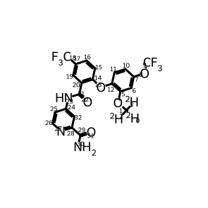 [2H]C([2H])([2H])Oc1cc(OC(F)(F)F)ccc1Oc1ccc(C(F)(F)F)cc1C(=O)Nc1ccnc(C(N)=O)c1